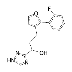 OC(CCc1ccoc1-c1ccccc1F)c1nc[nH]n1